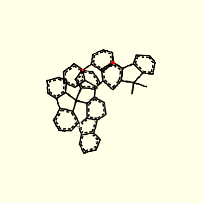 CC1(C)c2ccccc2-c2ccc(N(c3ccccc3-c3ccccc3)c3ccc4c(oc5ccccc54)c3C3(c4ccccc4)c4ccccc4-c4ccccc43)cc21